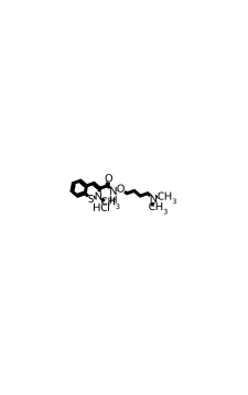 CN(C)CCCCONC(=O)C1=Cc2ccccc2SN1C.Cl